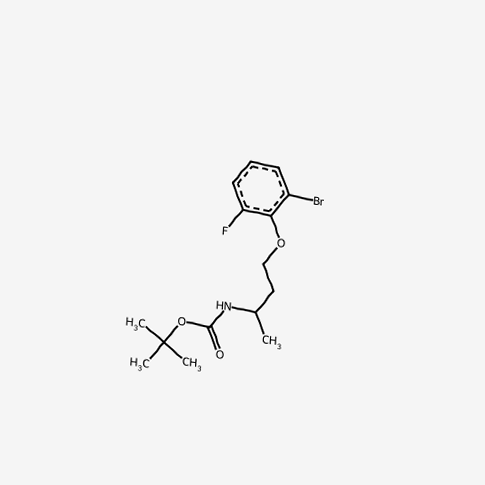 CC(CCOc1c(F)cccc1Br)NC(=O)OC(C)(C)C